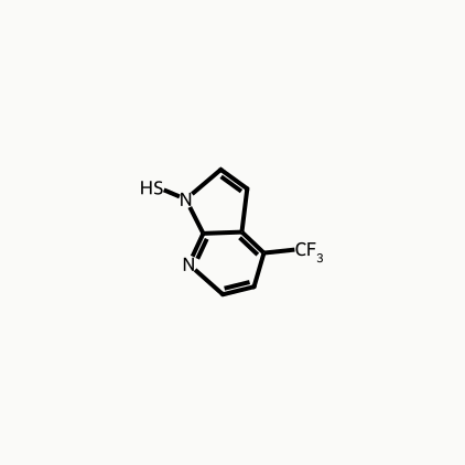 FC(F)(F)c1ccnc2c1ccn2S